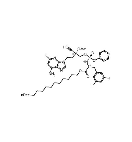 C#C[C@](CCn1cnc2c(N)nc(F)nc21)(COP(=O)(N[C@@H](Cc1cc(F)cc(F)c1)C(=O)OCCCCCCCCCCCCCCCCCCCCC)Oc1ccccc1)OC